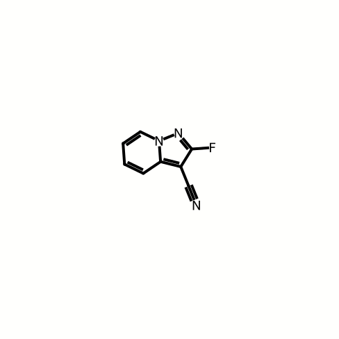 N#Cc1c(F)nn2ccccc12